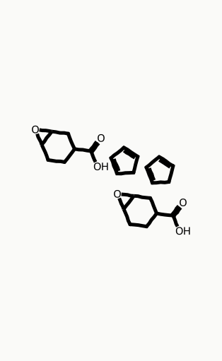 C1=CCC=C1.C1=CCC=C1.O=C(O)C1CCC2OC2C1.O=C(O)C1CCC2OC2C1